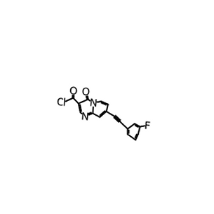 O=C(Cl)c1cnc2cc(C#Cc3cccc(F)c3)ccn2c1=O